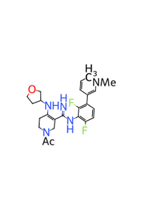 C/C=C\C(=C/NC)c1ccc(F)c(NC(=N)C2=C(NC3CCOC3)CCN(C(C)=O)C2)c1F